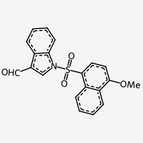 COc1ccc(S(=O)(=O)n2cc(C=O)c3ccccc32)c2ccccc12